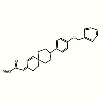 COC(=O)/C=C1\C=CC2(CC1)CCC(c1ccc(OCc3ccccc3)cc1)CC2